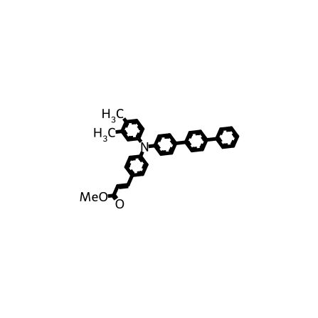 COC(=O)/C=C/c1ccc(N(c2ccc(-c3ccc(-c4ccccc4)cc3)cc2)c2ccc(C)c(C)c2)cc1